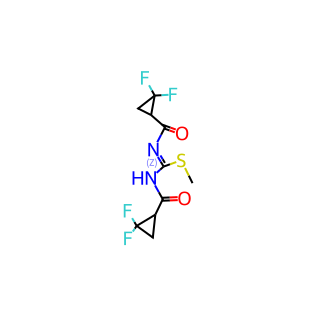 CS/C(=N\C(=O)C1CC1(F)F)NC(=O)C1CC1(F)F